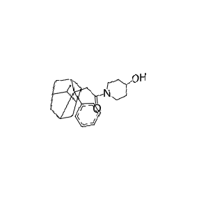 CC1C2CC3CC1CC(C2)C3(CC(=O)N1CCC(O)CC1)c1ccccc1